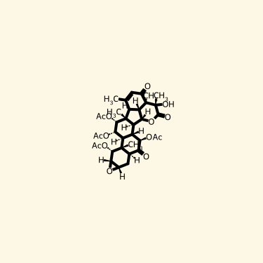 CC(=O)O[C@H]1[C@H]2[C@H]([C@@H]3[C@H]4OC(=O)[C@@](C)(O)[C@@]5(C)C(=O)C=C(C)[C@@H]([C@@H]45)[C@@]3(C)[C@H]1OC(C)=O)[C@@H](OC(C)=O)C(=O)[C@H]1C[C@@H]3O[C@@H]3[C@H](OC(C)=O)[C@]21C